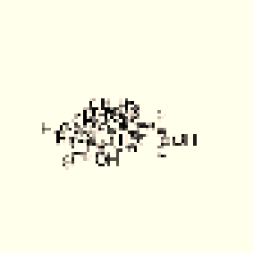 COC1=C2C(C)(C)[C@H]3O[C@@]2(CC3=O)[C@@H](O)C2=C(C1=O)[C@@]13C(=O)[C@@]([C@@H]4C[C@H]4C(=O)O)(C[C@@H]1O)[C@]3(C)CC2